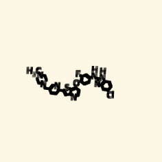 CN1CCN(Cc2ccc(-c3cc4nccc(Oc5ccc(Nc6nc7cc(Cl)ccc7[nH]6)cc5F)c4s3)nc2)CC1